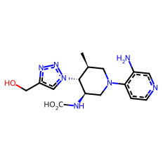 C[C@H]1CN(c2ccncc2N)C[C@@H](NC(=O)O)[C@@H]1n1cc(CO)nn1